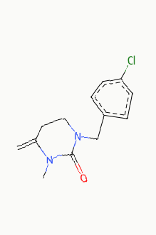 C=C1CCN(Cc2ccc(Cl)cc2)C(=O)N1C